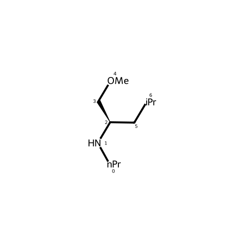 CCCN[C@@H](COC)CC(C)C